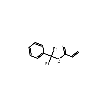 C=CC(=O)NC(CC)(CC)c1ccccc1